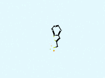 CS(=O)(=O)Cc1cc2ccccc2s1